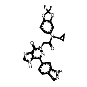 O=C(Cn1nc(-c2ccc3cn[nH]c3c2)c2[nH]cnc2c1=O)N(c1ccc2c(c1)OC(F)(F)O2)C1CC1